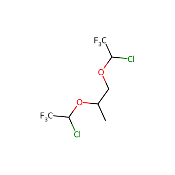 CC(COC(Cl)C(F)(F)F)OC(Cl)C(F)(F)F